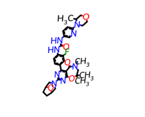 CC1COCCN1c1ccc(NC(=O)Nc2ccc(-c3nc(N4CC5CCC(C4)O5)nc4c3C(=O)N(C)CC(C)(C)O4)cc2F)cn1